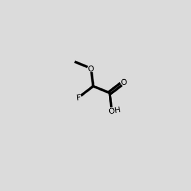 COC(F)C(=O)O